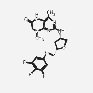 Cc1nc(N[C@H]2CO[C@H](COc3cc(F)c(F)c(F)c3)C2)nc2c1NC(=O)CN2C